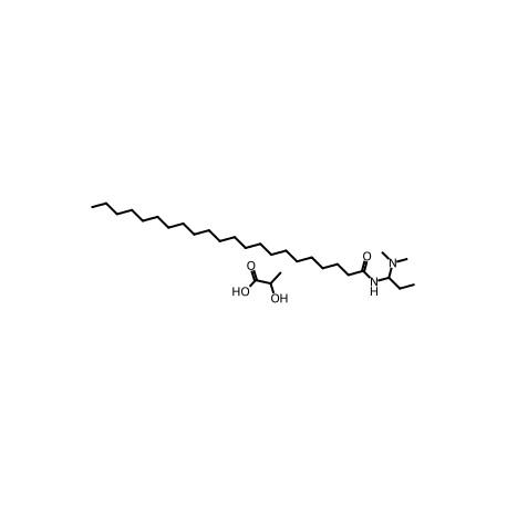 CC(O)C(=O)O.CCCCCCCCCCCCCCCCCCCCCC(=O)NC(CC)N(C)C